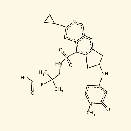 Cn1ccc(NC2Cc3cc4cnc(C5CC5)cc4c(S(=O)(=O)NCC(C)(C)F)c3C2)cc1=O.O=CO